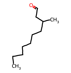 CCCCCCCC(C)CC=O